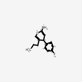 CCCC1=COC(N)=CC1c1ccc(F)cc1